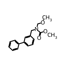 COCN(Cc1cccc(-c2ccccc2)c1)C(=O)OC